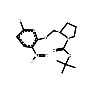 CC(C)(C)OC(=O)N1CCC[C@@H]1COc1nc(Cl)ccc1[N+](=O)[O-]